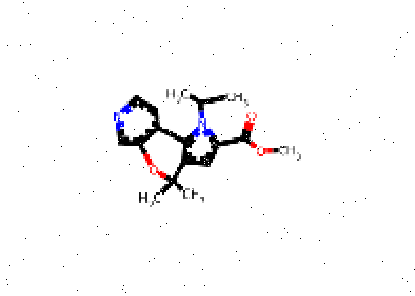 COC(=O)c1cc2c(n1C(C)C)-c1ccncc1OC2(C)C